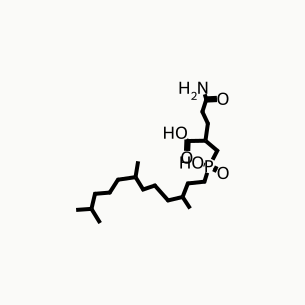 CC(C)CCCC(C)CCCC(C)CCP(=O)(O)CC(CCC(N)=O)C(=O)O